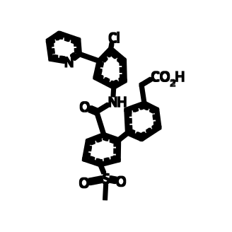 CS(=O)(=O)c1ccc(C(=O)Nc2ccc(Cl)c(-c3ccccn3)c2)c(-c2cccc(CC(=O)O)c2)c1